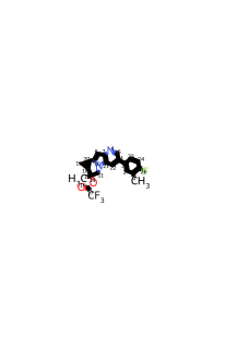 Cc1cc(-c2cnc3ccn(CC(C)(OC(=O)C(F)(F)F)C4CC4)c3c2)ccc1F